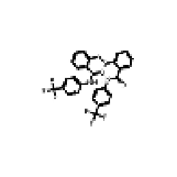 O=C(Nc1ccc(C(F)(F)F)cc1)c1ccccc1SSc1ccccc1C(=O)Nc1ccc(C(F)(F)F)cc1